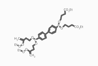 C=C(CCOP(OCCC(=C)OOCC)c1ccc(-c2ccc(P(OCCCC(=O)OCC)OCCCC(=O)OCC)cc2)cc1)OOCC